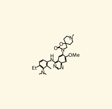 CCc1ccc(Nc2ncnc3cc(OC)c(N4CC5(CCN(C)CC5)OC4=O)cc23)c(C)c1N(C)C